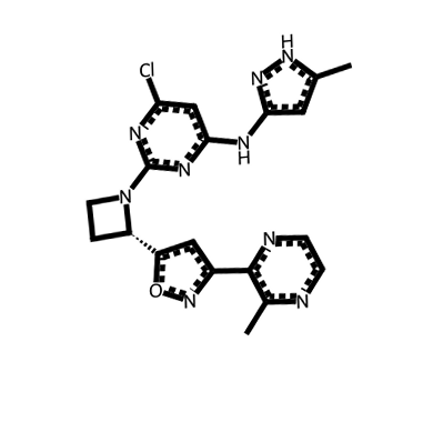 Cc1cc(Nc2cc(Cl)nc(N3CC[C@H]3c3cc(-c4nccnc4C)no3)n2)n[nH]1